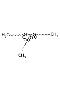 CCCCCCCCCCCC(=O)OCCN(CCOC(=O)CCCCCCCCCCC)C(=O)COC(=O)CCCCCCCCCCC